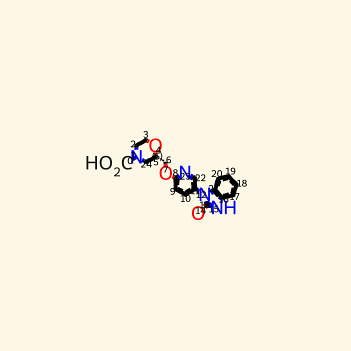 O=C(O)N1CCO[C@H](COc2ccc(-n3c(=O)[nH]c4ccccc43)cn2)C1